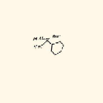 CO[Si](OC)(OC)[C]1CCCCC1